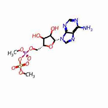 COP(=O)(OC[C@H]1O[C@@H](n2cnc3c(N)ncnc32)C(O)C1O)OS(=O)(=O)OC